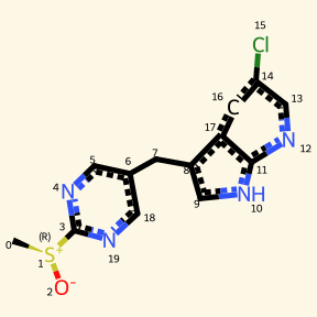 C[S@+]([O-])c1ncc(Cc2c[nH]c3ncc(Cl)cc23)cn1